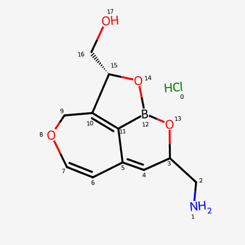 Cl.NCC1C=C2C=COCC3=C2B(O1)O[C@H]3CO